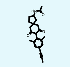 CC#Cc1cc(C)c(C2C(=O)CC3(CCC(NC(C)=O)C3)CC2=O)c(C)c1